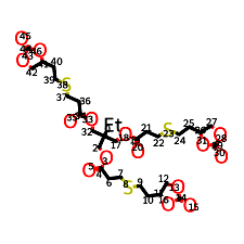 CCC(COC(=O)CCSCCC1COC(=O)O1)(COC(=O)CCSCCC1COC(=O)O1)COC(=O)CCSCCC1COC(=O)O1